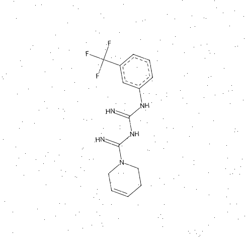 N=C(NC(=N)N1CC=CCC1)Nc1cccc(C(F)(F)F)c1